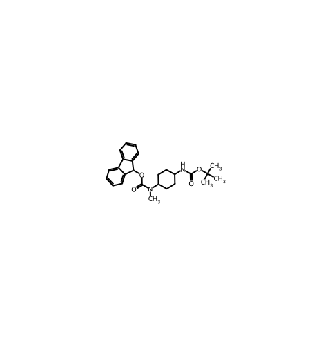 CN(C(=O)OC1c2ccccc2-c2ccccc21)C1CCC(NC(=O)OC(C)(C)C)CC1